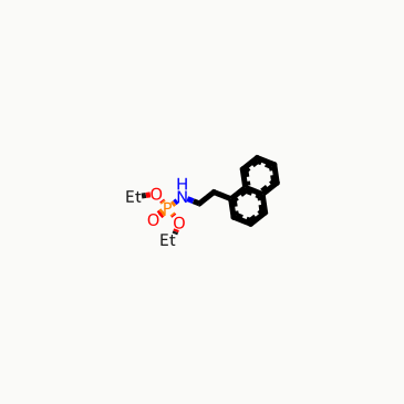 CCOP(=O)(NCCc1cccc2ccccc12)OCC